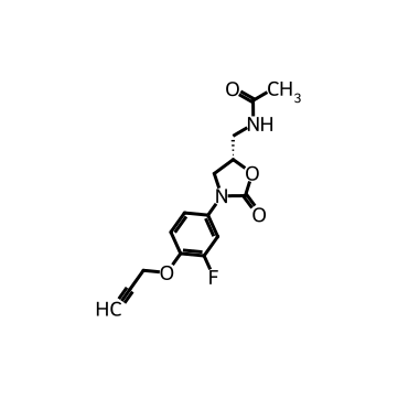 C#CCOc1ccc(N2C[C@H](CNC(C)=O)OC2=O)cc1F